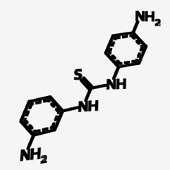 Nc1ccc(NC(=S)Nc2cccc(N)c2)cc1